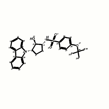 O=S(=O)(N[C@@H]1CC[C@H](n2c3ccccc3c3ccccc32)[C@H]1O)c1ccc(OC(F)(F)F)cc1